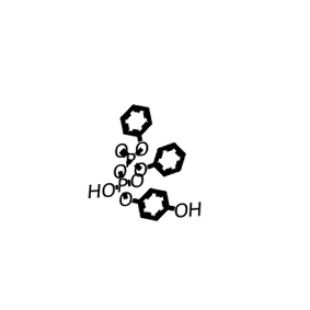 O=P(O)(Oc1ccc(O)cc1)OP(=O)(Oc1ccccc1)Oc1ccccc1